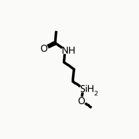 CO[SiH2]CCCNC(C)=O